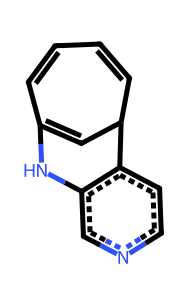 C1=CC2=CC(C=C1)c1ccncc1N2